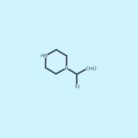 CCC([C]=O)N1CCNCC1